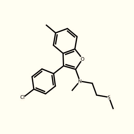 CSCCN(C)c1oc2ccc(C)cc2c1-c1ccc(Cl)cc1